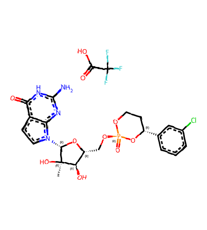 C[C@@]1(O)[C@H](O)[C@@H](CO[P@@]2(=O)OCC[C@H](c3cccc(Cl)c3)O2)O[C@H]1n1ccc2c(=O)[nH]c(N)nc21.O=C(O)C(F)(F)F